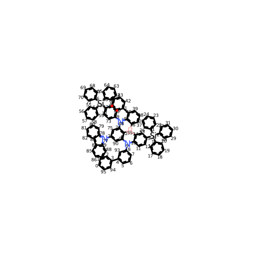 c1ccc(-c2cccc(N3c4ccc([Si](c5ccccc5)(c5ccccc5)c5ccccc5)cc4B4c5cccc(-c6ccccc6)c5N(c5ccc([Si](c6ccccc6)(c6ccccc6)c6ccccc6)cc5)c5cc(-n6c7ccccc7c7ccccc76)cc3c54)c2)cc1